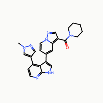 Cn1cc(-c2ccnc3[nH]cc(-c4ccn5ncc(C(=O)N6CCCCC6)c5c4)c23)cn1